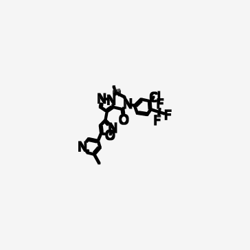 Cc1cncc(-c2cc(-c3cnn4c3C(=O)N(c3ccc(C(F)(F)F)c(Cl)c3)C[C@@H]4C)no2)c1